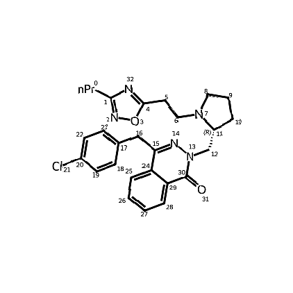 CCCc1noc(CCN2CCC[C@@H]2Cn2nc(Cc3ccc(Cl)cc3)c3ccccc3c2=O)n1